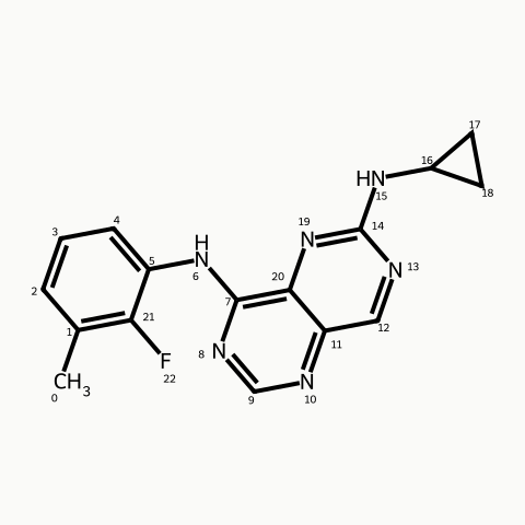 Cc1cccc(Nc2ncnc3cnc(NC4CC4)nc23)c1F